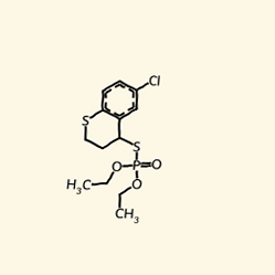 CCOP(=O)(OCC)SC1CCSc2ccc(Cl)cc21